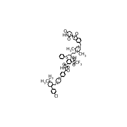 CC1CN(Cc2ccc3c(c2)CN(N2CCC(=O)NC2=O)C3=O)CC(C)N1CC[C@H](CSc1ccccc1)Nc1ccc(S(=O)(=O)NC(=O)c2ccc(N3CCN(CC4=C(c5ccc(Cl)cc5)CCC(C)(C)C4)CC3)cc2)cc1S(=O)(=O)C(F)(F)F